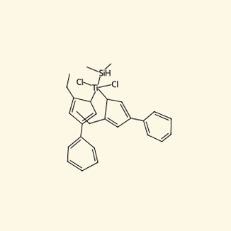 CCC1=CC(c2ccccc2)=C[CH]1[Ti]([Cl])([Cl])([CH]1C=C(c2ccccc2)C=C1CC)[SiH](C)C